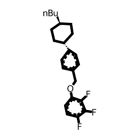 CCCC[C@H]1CC[C@H](c2ccc(COc3ccc(F)c(F)c3F)cc2)CC1